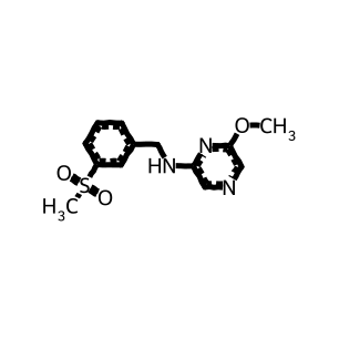 COc1cncc(NCc2cccc(S(C)(=O)=O)c2)n1